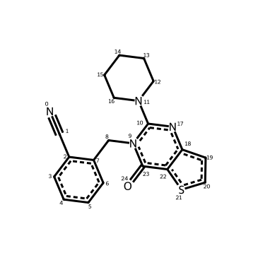 N#Cc1ccccc1Cn1c(N2CCCCC2)nc2ccsc2c1=O